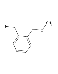 COCc1ccccc1CI